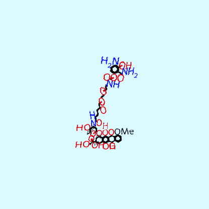 COc1cccc2c1C(=O)c1c(O)c3c(c(O)c1C2=O)C[C@@](O)(C(=O)CO)C[C@H]3OC1C[C@H](NC(=O)CCCC(=O)COCCOCCNC(=O)Oc2ccc(N)c(O)c2C(N)=O)[C@H](O)[C@H](C)O1